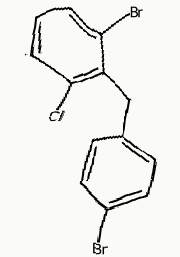 Clc1[c]ccc(Br)c1Cc1ccc(Br)cc1